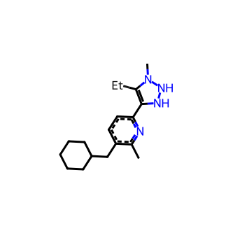 CCC1=C(c2ccc(CC3CCCCC3)c(C)n2)NNN1C